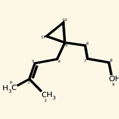 CC(C)=CCC1(CCCO)CC1